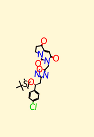 CC(C)(C)[Si](C)(C)O[C@@H](Cc1noc(Cn2c(=O)cc3n(c2=O)CCC3=O)n1)c1ccc(Cl)cc1